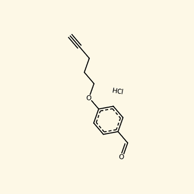 C#CCCCOc1ccc(C=O)cc1.Cl